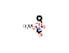 CCOC(=O)[C@@H]1C[C@@H](O)CN1C(=O)OCc1ccccc1